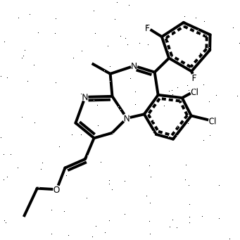 CCO/C=C/C1=CN=C2C(C)N=C(c3c(F)cccc3F)c3c(ccc(Cl)c3Cl)N2C1